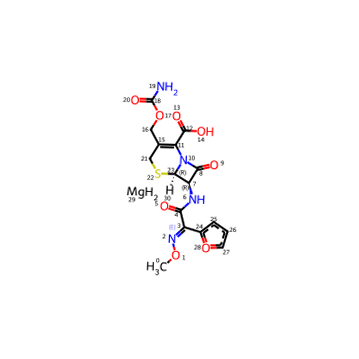 CO/N=C(/C(=O)N[C@@H]1C(=O)N2C(C(=O)O)=C(COC(N)=O)CS[C@H]12)c1ccco1.[MgH2]